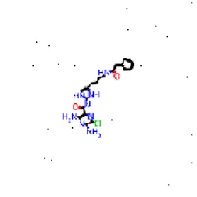 Nc1nc(N)c(C(=O)/N=C2\NC[C@@H](CCCCNC(=O)Cc3ccccc3)N2)nc1Cl